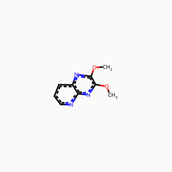 COc1nc2cccnc2nc1OC